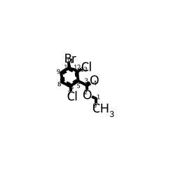 CCOC(=O)c1c(Cl)ccc(Br)c1Cl